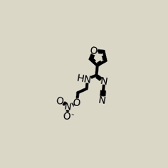 N#CN=C(NCCO[N+](=O)[O-])c1ccoc1